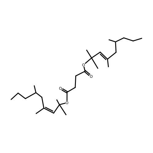 CCCC(C)CC(C)=CC(C)(C)OC(=O)CCC(=O)OC(C)(C)C=C(C)CC(C)CCC